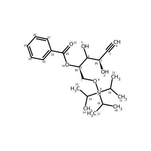 C#C[C@@H](O)C(O)[C@@H](CO[Si](C(C)C)(C(C)C)C(C)C)OC(=O)c1ccccc1